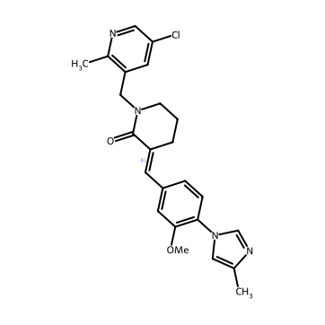 COc1cc(/C=C2\CCCN(Cc3cc(Cl)cnc3C)C2=O)ccc1-n1cnc(C)c1